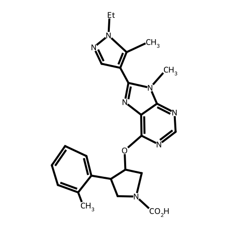 CCn1ncc(-c2nc3c(OC4CN(C(=O)O)CC4c4ccccc4C)ncnc3n2C)c1C